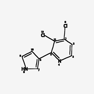 Clc1ccnc(-c2[c][nH]cc2)c1Cl